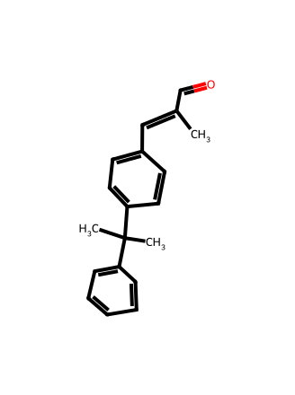 C/C(C=O)=C\c1ccc(C(C)(C)c2ccccc2)cc1